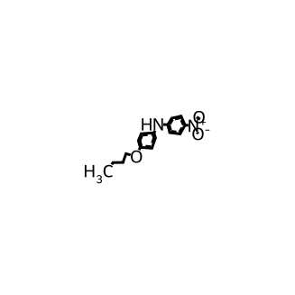 CCCCOc1ccc(Nc2ccc([N+](=O)[O-])cc2)cc1